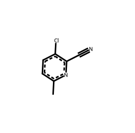 Cc1ccc(Cl)c(C#N)n1